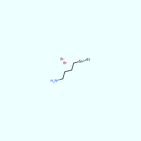 C[CH2][Sn+2][CH2]CCCN.[Br-].[Br-]